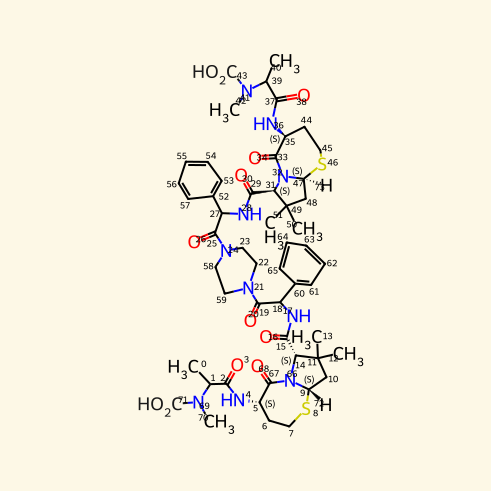 CC(C(=O)N[C@H]1CCS[C@H]2CC(C)(C)[C@@H](C(=O)NC(C(=O)N3CCN(C(=O)C(NC(=O)[C@H]4N5C(=O)[C@@H](NC(=O)C(C)N(C)C(=O)O)CCS[C@H]5CC4(C)C)c4ccccc4)CC3)c3ccccc3)N2C1=O)N(C)C(=O)O